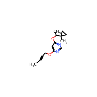 CC#CCOc1cc(OC(C)C2(C)CC2)ncn1